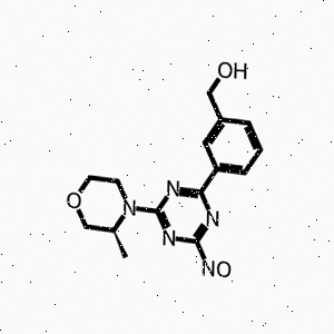 C[C@H]1COCCN1c1nc(N=O)nc(-c2cccc(CO)c2)n1